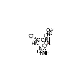 CNc1cc2c(cc1C(=O)N(C(C)C)[C@@H]1CCCN(OC(=O)C(C)(C)C)C1)N(CCNC(=O)OCc1ccccc1)C(=O)C(NC)(NC)O2